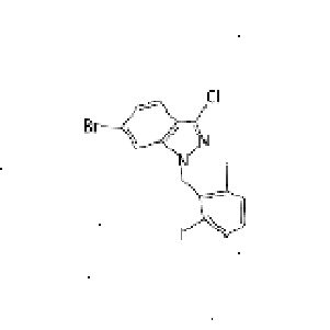 Cc1cccc(I)c1Cn1nc(Cl)c2ccc(Br)cc21